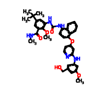 CNC(=O)c1cc(C(C)(C)C)cc(NC(=O)Nc2ccc(Oc3ccnc(Nc4cc(CO)cc(OC)c4)c3)c3ccccc23)c1OC